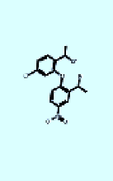 CC(Br)c1ccc(Cl)cc1Oc1ccc([N+](=O)[O-])cc1C(C)Br